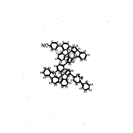 N#Cc1ccc(-c2cccc3c2-c2ccccc2C32c3cc(-c4ccc5c(c4)C4(c6ccccc6-c6c(-c7ccc(-c8ccccc8)nn7)cccc64)c4cccc6c7ccccc7n-5c46)ccc3-n3c4ccccc4c4cccc2c43)cc1